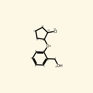 OCc1ccccc1OC1CCCC1Cl